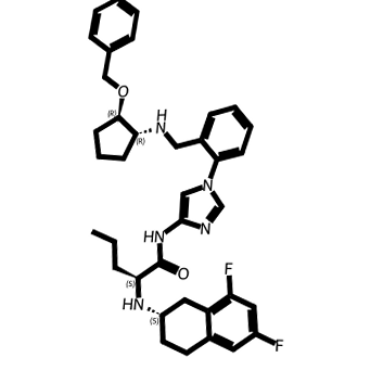 CCC[C@H](N[C@H]1CCc2cc(F)cc(F)c2C1)C(=O)Nc1cn(-c2ccccc2CN[C@@H]2CCC[C@H]2OCc2ccccc2)cn1